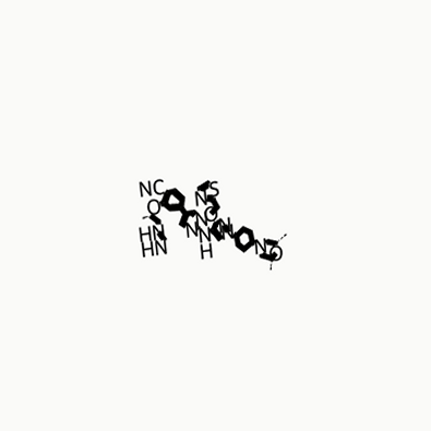 C[C@@H]1CN(C2CCC(n3cc(Nc4ncc(-c5ccc(C#N)c(O[C@@H](C)CNC=N)c5)cn4)c(OCc4nccs4)n3)CC2)C[C@H](C)O1